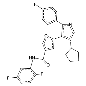 O=C(Nc1cc(F)ccc1F)c1coc(-c2c(-c3ccc(F)cc3)ncn2C2CCCC2)c1